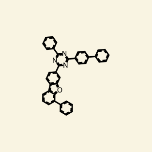 c1ccc(-c2ccc(-c3nc(-c4ccccc4)nc(-c4ccc5c(c4)oc4c(-c6ccccc6)cccc45)n3)cc2)cc1